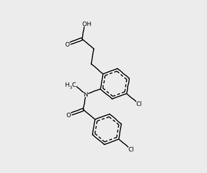 CN(C(=O)c1ccc(Cl)cc1)c1cc(Cl)ccc1CCC(=O)O